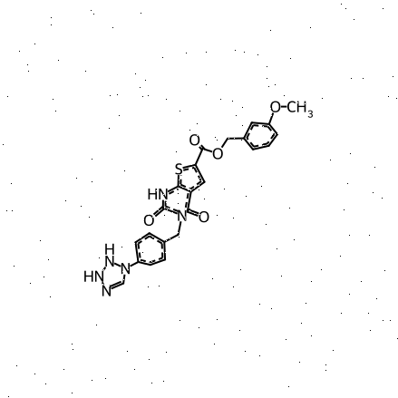 COc1cccc(COC(=O)c2cc3c(=O)n(Cc4ccc(N5C=NNN5)cc4)c(=O)[nH]c3s2)c1